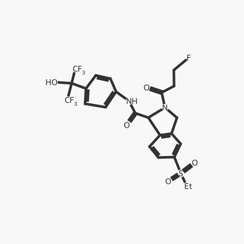 CCS(=O)(=O)c1ccc2c(c1)CN(C(=O)CCF)C2C(=O)Nc1ccc(C(O)(C(F)(F)F)C(F)(F)F)cc1